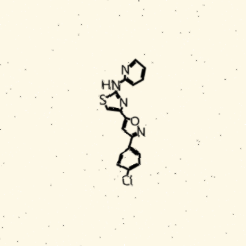 Clc1ccc(-c2cc(-c3csc(Nc4ccccn4)n3)on2)cc1